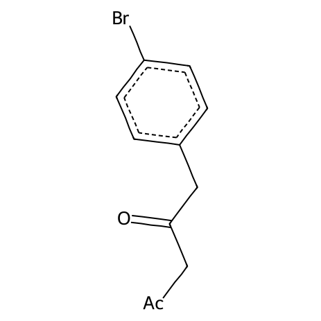 CC(=O)CC(=O)Cc1ccc(Br)cc1